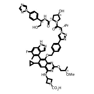 CO[C@@H](C)COc1nc(NC2CN(C(=O)O)C2)c2cc(C3CC3)c(-c3c(C)c(F)cc4[nH]ncc34)c(OCc3ccc(-c4cn([C@H](C(=O)N5C[C@H](O)C[C@H]5C(=O)N[C@@H](CO)c5ccc(-n6cncn6)cc5)C(C)C)nn4)cc3)c2n1